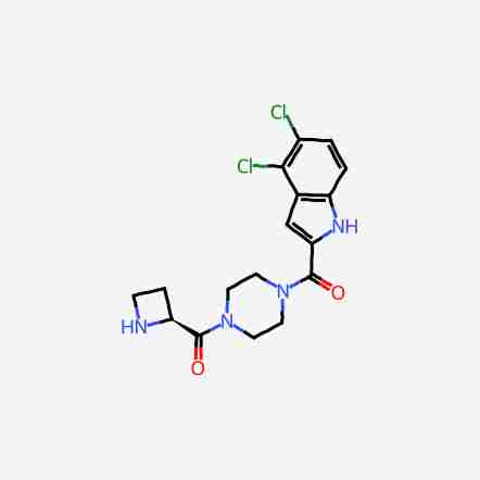 O=C(c1cc2c(Cl)c(Cl)ccc2[nH]1)N1CCN(C(=O)[C@@H]2CCN2)CC1